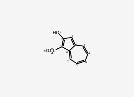 CCOC(=O)c1c(O)[c]c2cccccc1-2